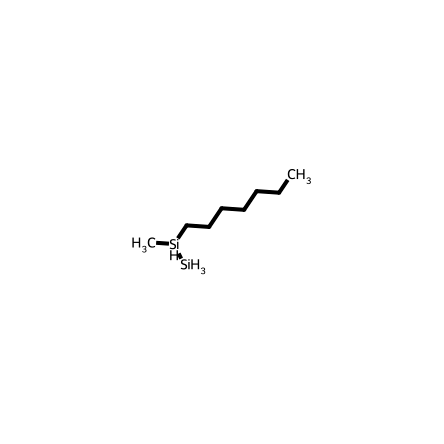 CCCCCCC[SiH](C)[SiH3]